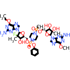 CCOc1nc(N)nc2c1ncn2[C@@H]1O[C@H](COP(=O)(Oc2ccccc2)N2CCN(P(C)(=O)OC[C@H]3O[C@@H](n4cnc5c(OC)nc(N)nc54)[C@](C)(O)[C@@H]3O)CC2)[C@@H](O)[C@@]1(C)F